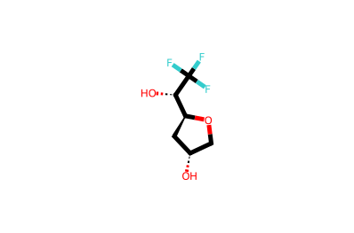 O[C@H]1CO[C@H]([C@H](O)C(F)(F)F)C1